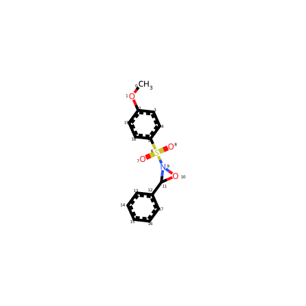 COc1ccc(S(=O)(=O)N2OC2c2ccccc2)cc1